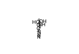 Cc1c(C)n(CC(C)CN2CCN(C)CC2)c2ccc(Oc3cccc(C(=O)Nc4cc(O)c(-c5ccccc5)c(O)c4)c3)cc12